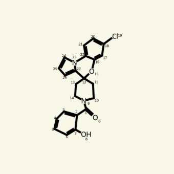 O=C(c1ccccc1O)N1CCC2(CC1)Oc1cc(Cl)ccc1-n1cccc12